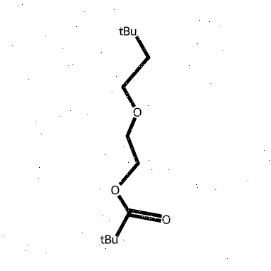 CC(C)(C)CCOCCOC(=O)C(C)(C)C